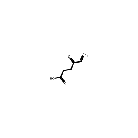 C=CC(=O)CCC(=O)O